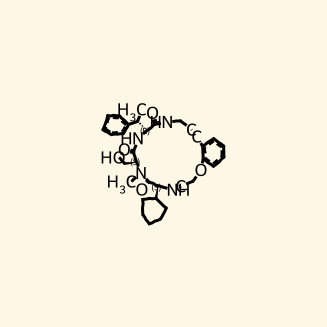 CC(c1ccccc1)[C@H]1NC(=O)[C@H](CO)N(C)C(=O)[C@H](C2CCCCC2)NCCOc2ccccc2CCCNC1=O